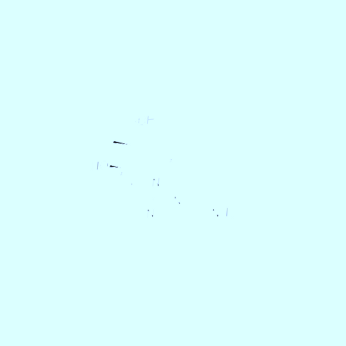 C[C@@]1(O)CCN(c2nccc(N)n2)C[C@H]1O